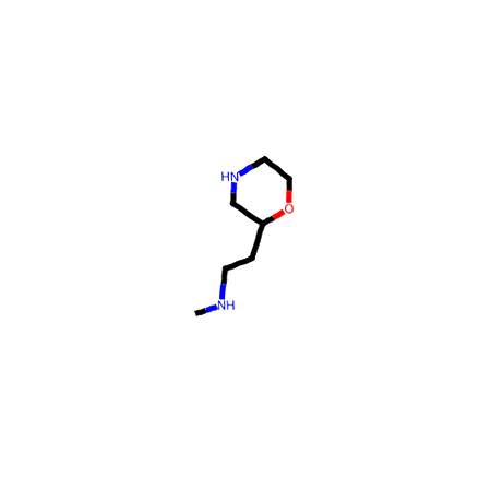 CNCCC1CNCCO1